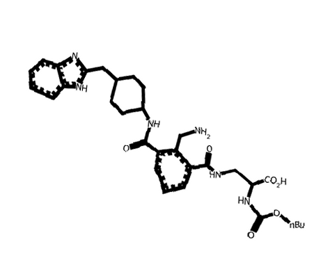 CCCCOC(=O)NC(CNC(=O)c1cccc(C(=O)NC2CCC(Cc3nc4ccccc4[nH]3)CC2)c1CN)C(=O)O